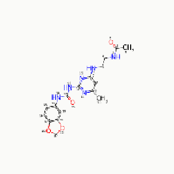 CC(=O)NCCNc1cc(C)nc(NC(=O)Nc2ccc3c(c2)OCO3)n1